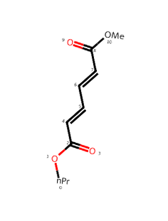 CCCOC(=O)/C=C/C=C/C(=O)OC